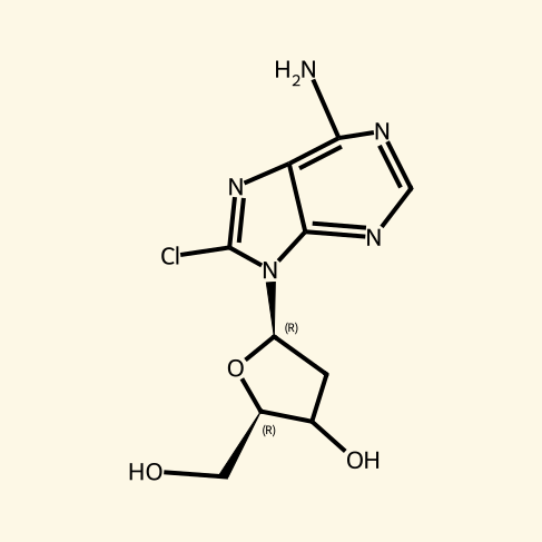 Nc1ncnc2c1nc(Cl)n2[C@H]1CC(O)[C@@H](CO)O1